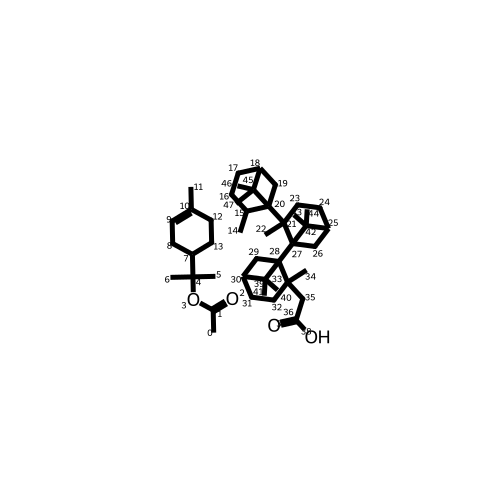 CC(=O)OC(C)(C)C1CC=C(C)CC1.CC1CCC2CC1(C1(C)CCC3CC1(C14CC(CCC1(C)CC(=O)O)C4(C)C)C3(C)C)C2(C)C